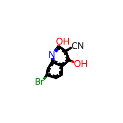 N#Cc1c(O)nc2cc(Br)ccc2c1O